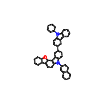 c1ccc(-n2c3ccccc3c3cc(-c4ccc5c(c4)c4c6oc7ccccc7c6ccc4n5-c4ccc5ccccc5c4)ccc32)cc1